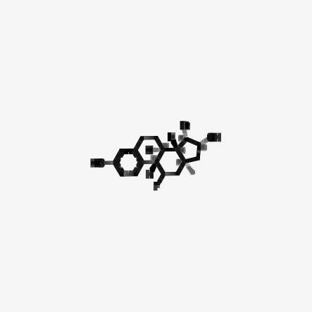 CC[C@H]1[C@H]2[C@@H]3CCc4cc(O)ccc4[C@H]3C(F)C[C@]2(C)C[C@H]1O